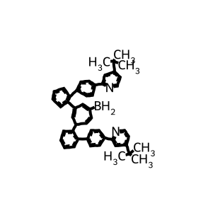 BC1=CC(c2ccccc2-c2ccc(-c3cc(C(C)(C)C)ccn3)cc2)=CC(c2ccccc2-c2ccc(-c3cc(C(C)(C)C)ccn3)cc2)C=C1